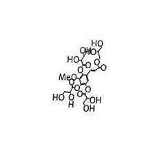 COc1c(OC(=O)C(O)CO)c(C=CC(=O)OCC(O)CO)cc(OC(=O)C(O)CO)c1OC(=O)C(O)CO